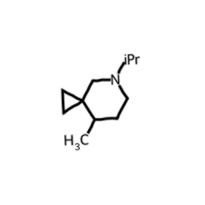 CC(C)N1CCC(C)C2(CC2)C1